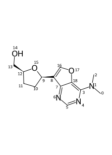 CN(C)c1ncnc2c([C@H]3CC[C@@H](CO)O3)coc12